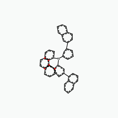 c1ccc(-c2ccccc2N(c2cccc(-c3ccc4ccccc4c3)c2)c2cc(-c3cccc4ccccc34)ccc2-c2ccccc2)cc1